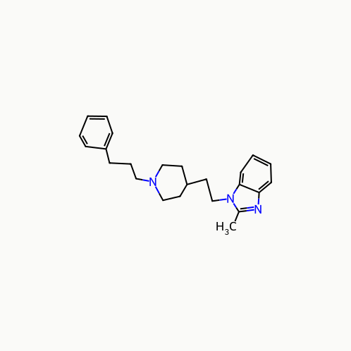 Cc1nc2ccccc2n1CCC1CCN(CCCc2ccccc2)CC1